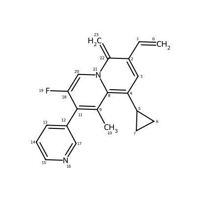 C=CC1=CC(C2CC2)=C2C(C)=C(c3cccnc3)C(F)=CN2C1=C